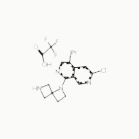 CC(C)c1cnc(N2CCC23CNC3)c2cnc(Cl)cc12.O=C(O)C(F)(F)F